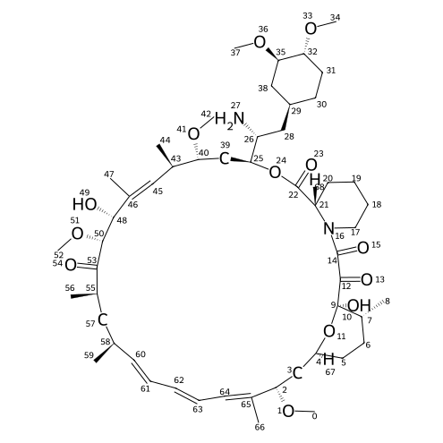 CO[C@H]1C[C@@H]2CC[C@@H](C)[C@@](O)(O2)C(=O)C(=O)N2CCCC[C@H]2C(=O)O[C@H]([C@H](N)C[C@@H]2CC[C@@H](OC)[C@H](OC)C2)C[C@@H](OC)[C@H](C)/C=C(\C)[C@@H](O)[C@@H](OC)C(=O)[C@H](C)C[C@H](C)/C=C/C=C/C=C/1C